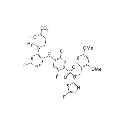 COc1ccc(CN(c2ncc(F)s2)S(=O)(=O)c2cc(Cl)c(Nc3ccc(F)cc3N(C)CCN(C)C(=O)O)cc2F)c(OC)c1